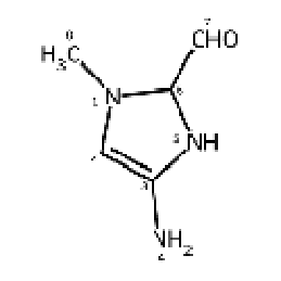 CN1C=C(N)NC1C=O